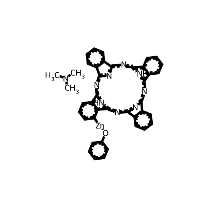 CN(C)C.c1ccc([O][Zn][c]2cccc3c4nc5nc(nc6[nH]c(nc7nc(nc([nH]4)c23)-c2ccccc2-7)c2ccccc62)-c2ccccc2-5)cc1